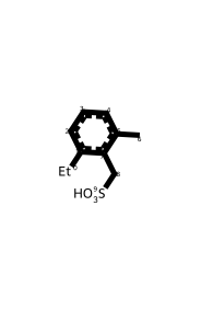 CCc1cccc(C)c1CS(=O)(=O)O